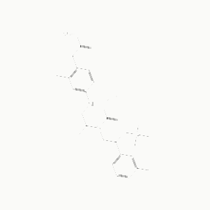 COC(=O)Cc1ccc(NCC(C)N(CC(O[Si](C)(C)C(C)(C)C)c2cccc(Cl)c2)C(=O)OC(C)(C)C)cc1C